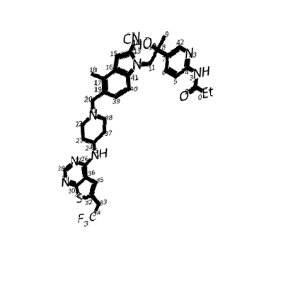 CCC(=O)Nc1ccc(C(C)(O)Cn2c(C#N)cc3c(C)c(CN4CCC(Nc5ncnc6sc(CC(F)(F)F)cc56)CC4)ccc32)cn1